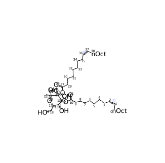 CCCCCCCC/C=C\CCCCCCCC(=O)O[C@@]1(O)[C@@H](O)[C@@H](CO)OC(C)(O)[C@@]1(O)OC(=O)CCCCCCC/C=C\CCCCCCCC